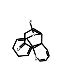 O=C1CC=C2N(Br)C3=CCCC=C3C23C=CC=CNC13